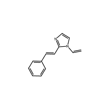 C=Cn1ccnc1C=Cc1ccccc1